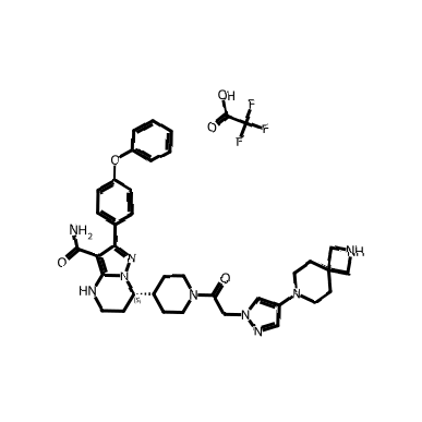 NC(=O)c1c(-c2ccc(Oc3ccccc3)cc2)nn2c1NCC[C@H]2C1CCN(C(=O)Cn2cc(N3CCC4(CC3)CNC4)cn2)CC1.O=C(O)C(F)(F)F